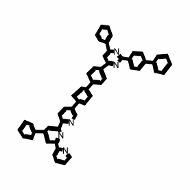 c1ccc(-c2ccc(-c3nc(-c4ccccc4)cc(-c4ccc(-c5ccc(-c6ccc(-c7cc(-c8ccccc8)cc(-c8ccccn8)n7)nc6)cc5)cc4)n3)cc2)cc1